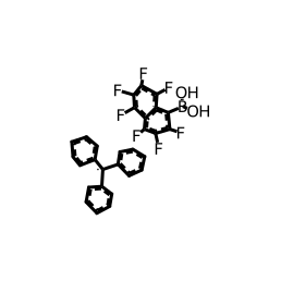 OB(O)c1c(F)c(F)c(F)c2c(F)c(F)c(F)c(F)c12.c1ccc([C](c2ccccc2)c2ccccc2)cc1